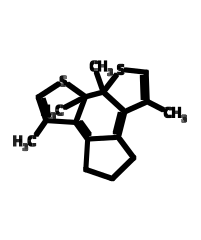 CC1=CSC2(C)C1=C1CCCC1=C1C(C)=CSC12C